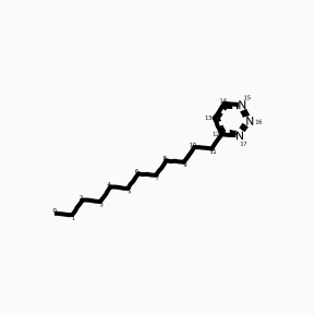 CCCCCCCCCCCCc1ccnnn1